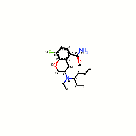 CCCC(CC)N(CC)[C@H]1COc2c(F)ccc(C(N)=O)c2C1